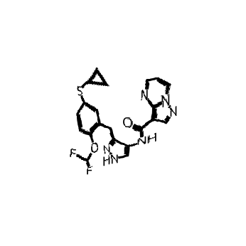 O=C(Nc1c[nH]nc1Cc1cc(SC2CC2)ccc1OC(F)F)c1cnn2cccnc12